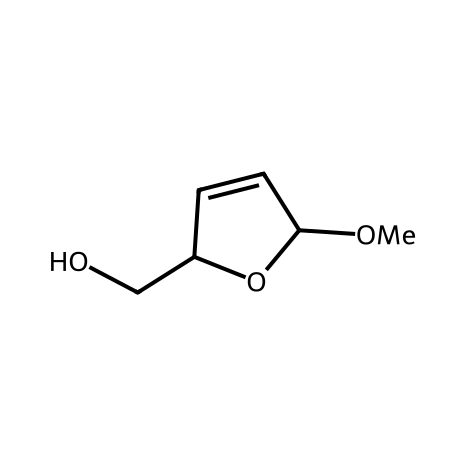 COC1C=CC(CO)O1